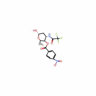 C[C@H]1O[C@H](O)C[C@H](NC(=O)C(F)(F)F)[C@H]1OC(=O)c1ccc([N+](=O)[O-])cc1